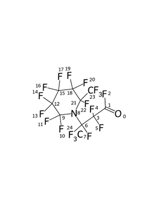 O=C(F)C(F)(F)C(F)(N1C(F)(F)C(F)(F)C(F)(F)C(F)(F)C1(F)C(F)(F)F)C(F)(F)F